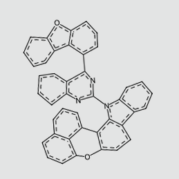 c1cc2c3c(cccc3c1)-c1c(ccc3c4ccccc4n(-c4nc(-c5cccc6oc7ccccc7c56)c5ccccc5n4)c13)O2